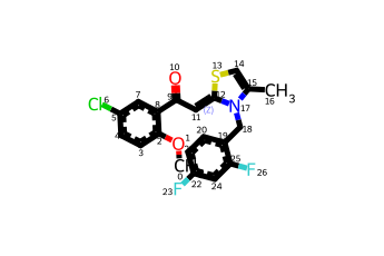 COc1ccc(Cl)cc1C(=O)/C=C1\SC=C(C)N1Cc1ccc(F)cc1F